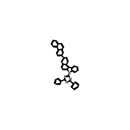 c1ccc(-c2nc(-c3ccccc3)nc(-n3c4ccccc4c4c5ccc(-c6ccc7c(ccc8ccccc87)c6)cc5ccc43)n2)cc1